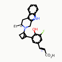 CC[C@H]1Cc2c([nH]c3ccccc23)CN1C12CC(C1)C2c1cc(/C=C/C(=O)O)cc(F)c1O